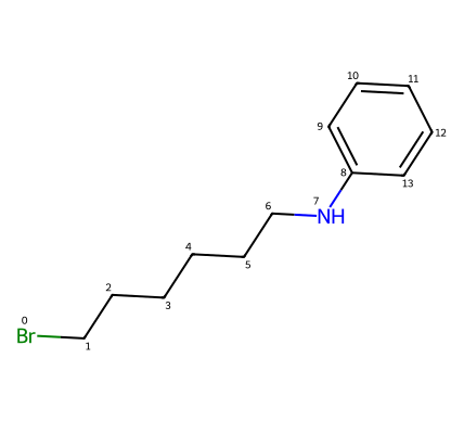 BrCCCCCCNc1ccccc1